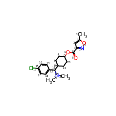 Cc1cc(C(=O)OC2CCC(C(c3ccc(Cl)cc3)N(C)C)CC2)no1